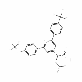 CC(C)CC(C(=O)O)c1cc(-c2ccc(OC(F)(F)F)cc2)nc(-c2ccc(C(F)(F)F)cc2)c1